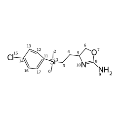 C[Si](C)(CCC1COC(N)=N1)c1ccc(Cl)cc1